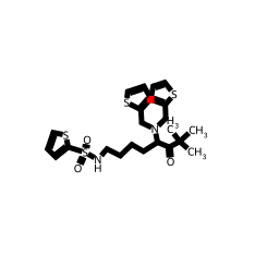 CC(C)(C)C(=O)[C](CCCCNS(=O)(=O)c1cccs1)N(Cc1cccs1)Cc1cccs1